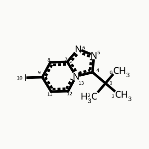 CC(C)(C)c1nnc2cc(I)ccn12